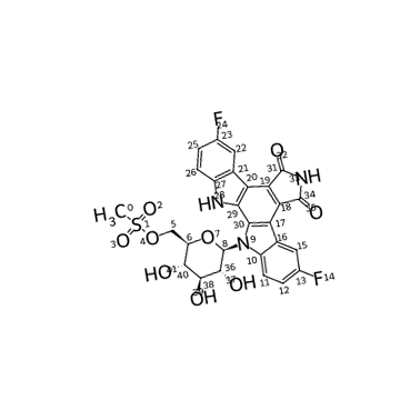 CS(=O)(=O)OC[C@H]1O[C@@H](n2c3ccc(F)cc3c3c4c(c5c6cc(F)ccc6[nH]c5c32)C(=O)NC4=O)[C@H](O)[C@@H](O)[C@@H]1O